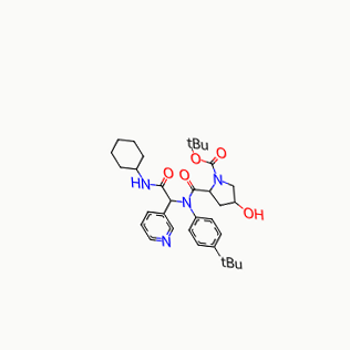 CC(C)(C)OC(=O)N1CC(O)CC1C(=O)N(c1ccc(C(C)(C)C)cc1)C(C(=O)NC1CCCCC1)c1cccnc1